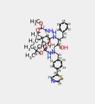 COC(=O)N[C@H](C(=O)N[C@@H](Cc1ccccc1)[C@@H](O)CN(Cc1ccc(-c2cncs2)cc1)NC(=O)OC(C)(C)C)C(C)(C)C